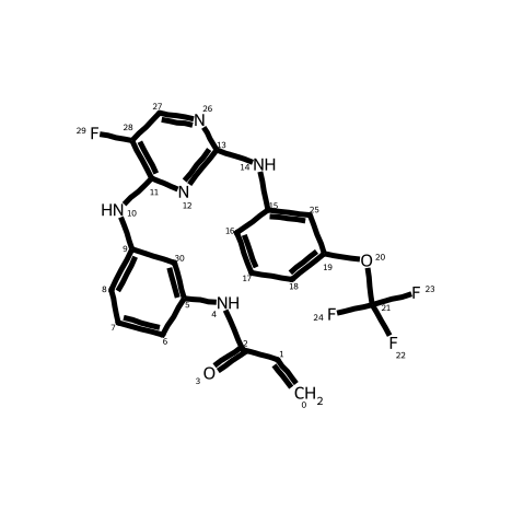 C=CC(=O)Nc1cccc(Nc2nc(Nc3cccc(OC(F)(F)F)c3)ncc2F)c1